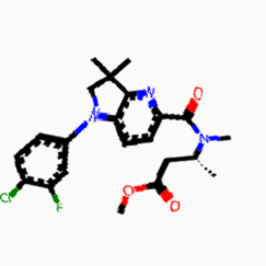 COC(=O)C[C@@H](C)N(C)C(=O)c1ccc2c(n1)C(C)(C)CN2c1ccc(Cl)c(F)c1